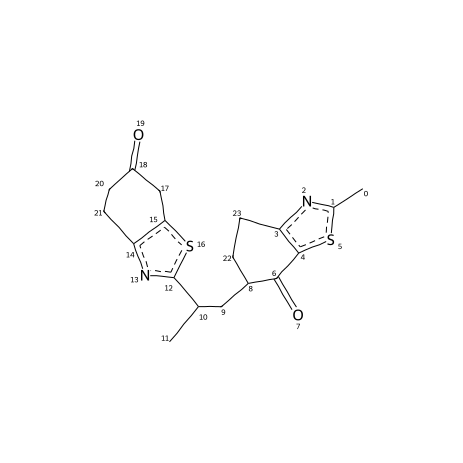 Cc1nc2c(s1)C(=O)C(CC(C)c1nc3c(s1)CC(=O)CC3)CC2